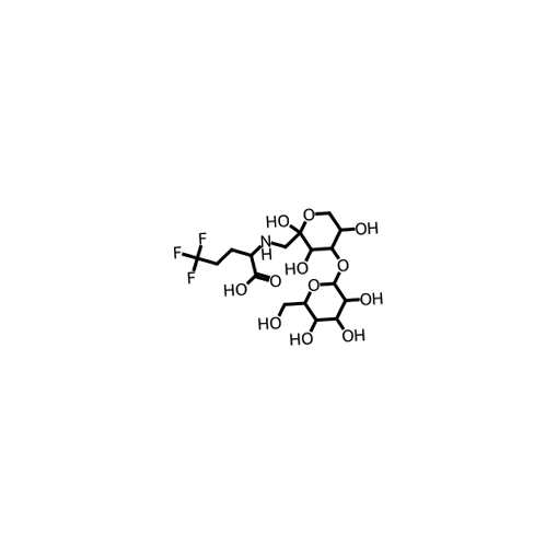 O=C(O)C(CCC(F)(F)F)NCC1(O)OCC(O)C(OC2OC(CO)C(O)C(O)C2O)C1O